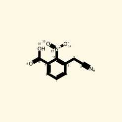 N#CCc1cccc(C(=O)O)c1[N+](=O)[O-]